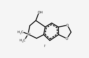 C[N+]1(C)Cc2cc3c(cc2C(O)C1)OCO3.[I-]